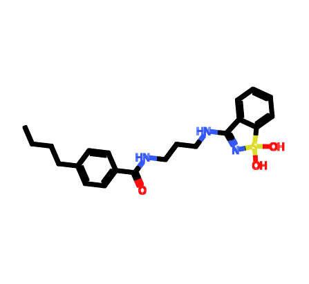 CCCCc1ccc(C(=O)NCCCNC2=NS(O)(O)c3ccccc32)cc1